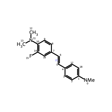 CNc1ccc(/C=C/c2ccc(N(C)C)c(F)c2)cc1